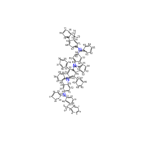 CC1(C)c2ccccc2-c2ccc(N(c3ccccc3)c3ccc4c(c3)c3cccc5c6c(-c7ccccc7)c7c(c(-c8ccccc8)c6n4c35)c3cccc4c5cc(N(c6ccccc6)c6ccc8c(c6)C(C)(C)c6ccccc6-8)ccc5n7c43)cc21